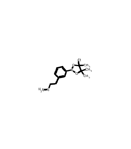 CCC1(C)OB(c2cccc(CCSN)c2)OC1(C)C